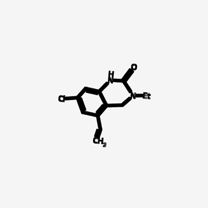 C=Cc1cc(Cl)cc2c1CN(CC)C(=O)N2